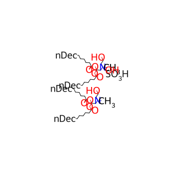 CCCCCCCCCCCCCCCC(=O)OC(CN(C)CCO)OC(=O)CCCCCCCCCCCCCCC.CCCCCCCCCCCCCCCC(=O)OC(CN(C)CCO)OC(=O)CCCCCCCCCCCCCCC.O=S(=O)(O)O